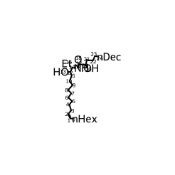 CCCCCC/C=C\CCCCCCCCCC(O)C(CC)NC(=O)C(O)CCCCCCCCCCCCC